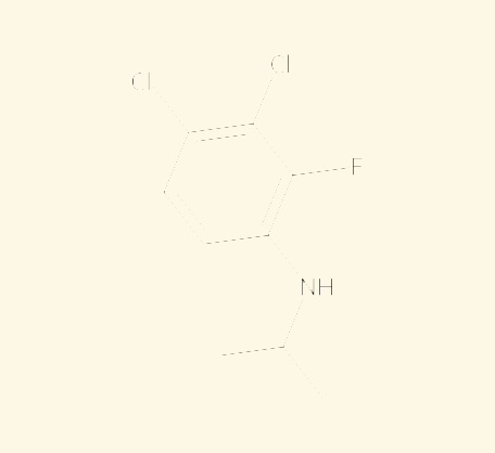 CC(C)Nc1ccc(Cl)c(Cl)c1F